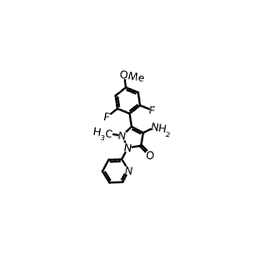 COc1cc(F)c(-c2c(N)c(=O)n(-c3ccccn3)n2C)c(F)c1